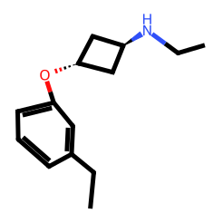 CCN[C@H]1C[C@H](Oc2cccc(CC)c2)C1